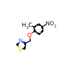 Cc1cc([N+](=O)[O-])ccc1OCc1cscn1